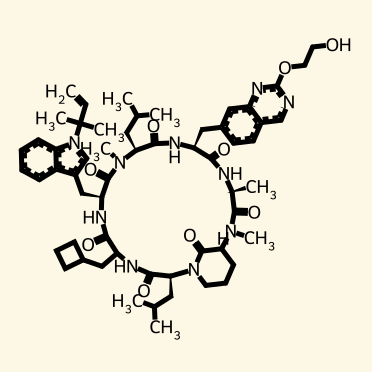 C=CC(C)(C)n1cc(C[C@@H]2NC(=O)C(CC3CCC3)NC(=O)[C@H](CC(C)C)N3CCC[C@@H](C3=O)N(C)C(=O)[C@H](C)NC(=O)[C@H](Cc3ccc4cnc(OCCO)nc4c3)NC(=O)[C@H](CC(C)C)N(C)C2=O)c2ccccc21